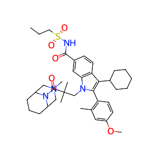 CCCS(=O)(=O)NC(=O)c1ccc2c(C3CCCCC3)c(-c3ccc(OC)cc3C)n(CC(C)(C)C(=O)N3C4CCCC3CN(C)C4)c2c1